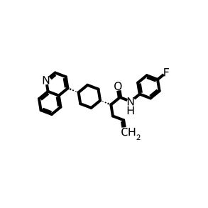 C=CCC(C(=O)Nc1ccc(F)cc1)[C@H]1CC[C@@H](c2ccnc3ccccc32)CC1